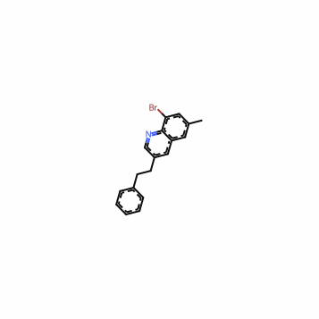 Cc1cc(Br)c2ncc(CCc3ccccc3)cc2c1